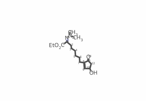 CCOC(=O)/C(CCCCCCC1=CC(O)CC1=O)=N/N(C)C